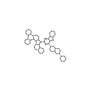 c1ccc(-c2ccc3cc(-c4nc(-n5c6ccc7c8ccccc8c8ccccc8c7c6c6ccc7ccccc7c65)nc5c4oc4ccccc45)ccc3c2)cc1